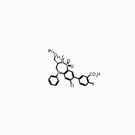 CC(C)OC[C@@H]1CN(c2ccccc2)c2cc(Cl)c(-c3ccc(F)c(C(=O)O)c3)cc2S(=O)(=O)N1C